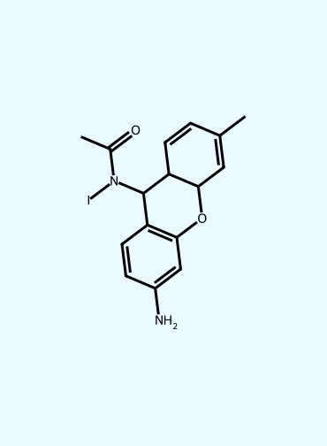 CC(=O)N(I)C1c2ccc(N)cc2OC2C=C(C)C=CC21